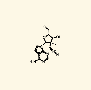 C[C@@]1(N=[N+]=[N-])[C@H](O)[C@@H](CO)O[C@@H]1n1ccc2c(N)ncnc21